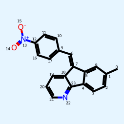 Cc1ccc2c(c1)/C(=C/c1ccc([N+](=O)[O-])cc1)c1cccnc1-2